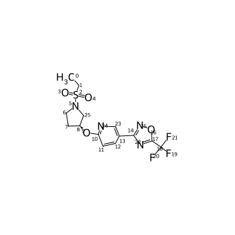 CCS(=O)(=O)N1CC[C@H](Oc2ccc(-c3noc(C(F)(F)F)n3)cn2)C1